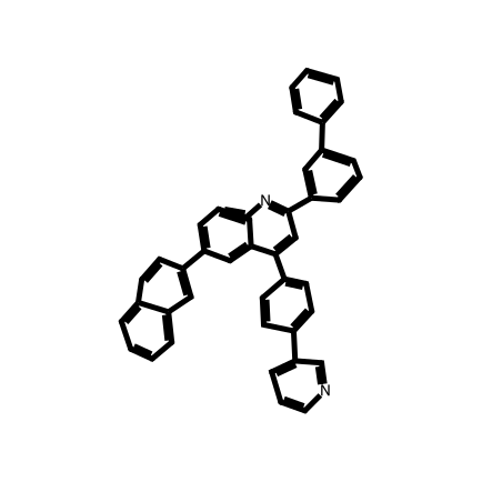 C=C/N=C(\C=C(\c1ccc(-c2cccnc2)cc1)c1cccc(-c2ccc3ccccc3c2)c1)c1cccc(-c2ccccc2)c1